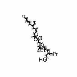 C=CC(C/C=C\CC(C)(C)OC(=O)CCN(CCCN(CCC)CCO)C(C)(C)CC)CC/C=C/C